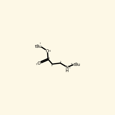 CC(C)(C)NCCC(=O)OC(C)(C)C